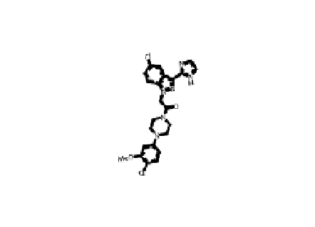 COc1cc(N2CCN(C(=O)Cn3nc(-c4ncc[nH]4)c4cc(Cl)ccc43)CC2)ccc1Cl